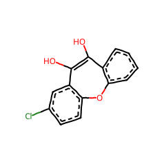 OC1=C(O)c2cc(Cl)ccc2Oc2ccccc21